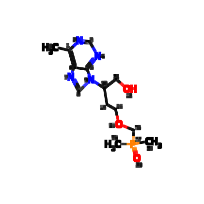 Cc1ncnc2c1ncn2C(CO)CCOCP(C)(C)=O